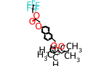 CCC(C)(C)CC(C(=O)OCc1ccc2cc(OCC(=O)OCC(F)(F)C(F)(F)F)ccc2c1)C(C)(C)C